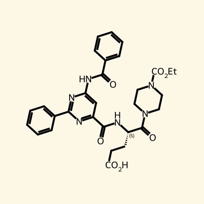 CCOC(=O)N1CCN(C(=O)[C@H](CCC(=O)O)NC(=O)c2cc(NC(=O)c3ccccc3)nc(-c3ccccc3)n2)CC1